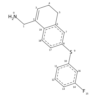 NCC1=CCCc2cc(Sc3cccc(F)c3)ccc21